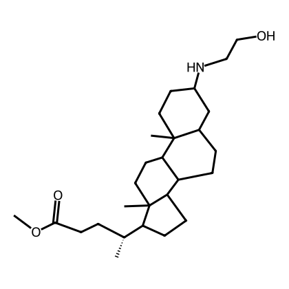 COC(=O)CC[C@@H](C)C1CCC2C3CCC4CC(NCCO)CCC4(C)C3CCC21C